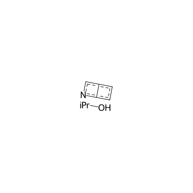 CC(C)O.c1cc2ncc1-2